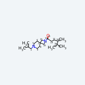 CC(C)CN1CCC2(CC1)CN(C(=O)CCC(C)C(C)C)C2